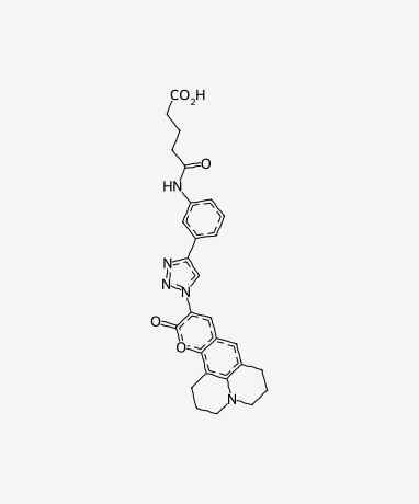 O=C(O)CCCC(=O)Nc1cccc(-c2cn(-c3cc4cc5c6c(c4oc3=O)CCCN6CCC5)nn2)c1